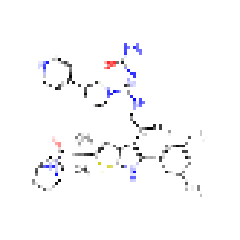 Cc1cc(C)cc(-c2[nH]c3sc(C(C)(C)C(=O)N4C5CCC4CC5)cc3c2[C@H](C)CN/C(=N/C(N)=O)N2CCC(c3ccncc3)C2)c1